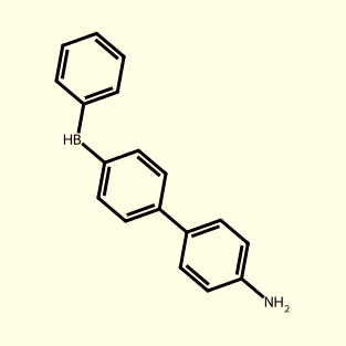 Nc1ccc(-c2ccc(Bc3ccccc3)cc2)cc1